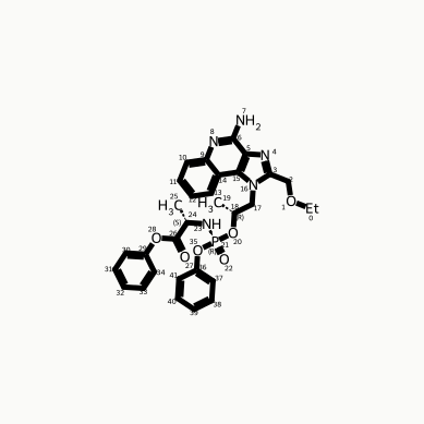 CCOCc1nc2c(N)nc3ccccc3c2n1C[C@@H](C)O[P@](=O)(N[C@@H](C)C(=O)Oc1ccccc1)Oc1ccccc1